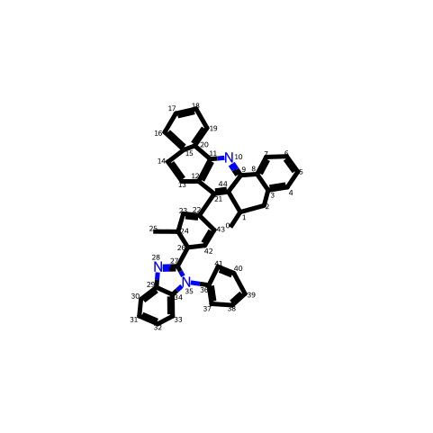 CC1Cc2ccccc2-c2nc3c(ccc4ccccc43)c(C3=CC(C)C(c4nc5ccccc5n4-c4ccccc4)C=C3)c21